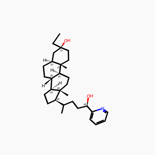 CC[C@]1(O)CC[C@@]2(C)[C@@H](CC[C@@H]3[C@@H]2CC[C@]2(C)[C@@H](C(C)CC[C@@H](O)c4ccccn4)CC[C@@H]32)C1